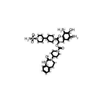 Bc1cc(C[C@@H](OC(=O)N2CCC(N3CCc4ccccc4NC3=O)CC2)C(=O)N2CCC(C3CCN(S(N)(=O)=O)CC3)CC2)cc(B)c1O